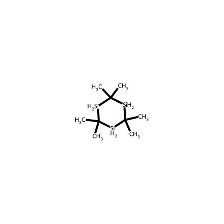 CC1(C)[SiH2]C(C)(C)[SiH2]C(C)(C)[SiH2]1